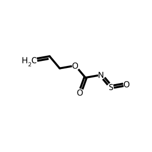 C=CCOC(=O)N=S=O